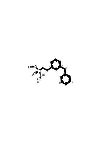 CCOP(=O)(CCc1cccc(Cc2ccccc2)c1)OCC